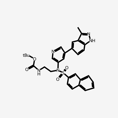 Cc1n[nH]c2ccc(-c3cncc(N(CCNC(=O)OC(C)(C)C)S(=O)(=O)c4ccc5ccccc5c4)c3)cc12